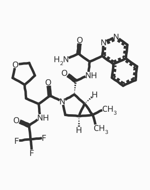 CC1(C)[C@@H]2[C@@H](C(=O)NC(C(N)=O)c3nncc4ccccc34)N(C(=O)C(CC3CCOC3)NC(=O)C(F)(F)F)C[C@@H]21